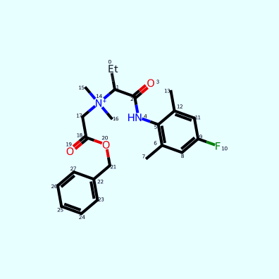 CCC(C(=O)Nc1c(C)cc(F)cc1C)[N+](C)(C)CC(=O)OCc1ccccc1